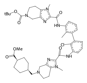 COC(=O)[C@H]1CC[C@@H](CN2CCc3c(nc(C(=O)Nc4cccc(-c5cccc(NC(=O)c6nc7c(n6C)CCN(C(=O)OC(C)(C)C)C7)c5C)c4Cl)n3C)C2)CC1